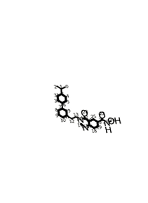 CC(C)c1ccc(-c2cccc(CCn3cnc4ccc(C(=O)NO)cc4c3=O)c2)cc1